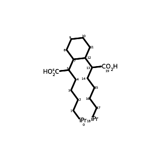 CC(C)CCCCC(C(=O)O)C1CCCCC1C(CCCCC(C)C)C(=O)O